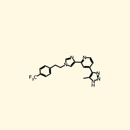 Cc1[nH]nnc1-c1ccnc(-c2cn(CCc3ccc(C(F)(F)F)cc3)cn2)c1